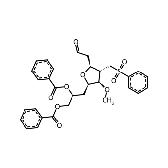 CO[C@@H]1[C@@H](CS(=O)(=O)c2ccccc2)[C@H](CC=O)O[C@@H]1CC(COC(=O)c1ccccc1)OC(=O)c1ccccc1